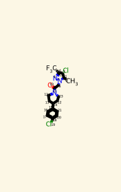 CC1C(Cl)C(C(F)(F)F)=NN1CC(=O)N1CCC(c2ccc(Cl)cc2)CC1